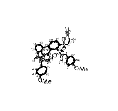 COc1ccc(CNS(=O)(=O)c2c(S(=O)(=O)C[C@@H](C)N)ccc(-c3cccc4c3nc(N)n4C)c2-c2nnn(Cc3ccc(OC)cc3)n2)cc1